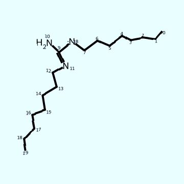 CCCCCCCC[N]C(N)=NCCCCCCCC